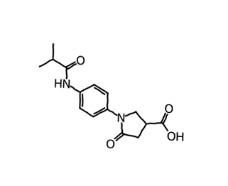 CC(C)C(=O)Nc1ccc(N2CC(C(=O)O)CC2=O)cc1